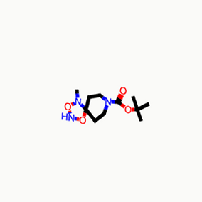 CN1ONOC12CCN(C(=O)OC(C)(C)C)CC2